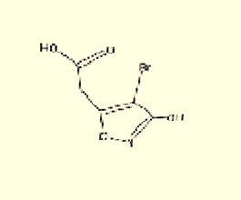 O=C(O)Cc1onc(O)c1Br